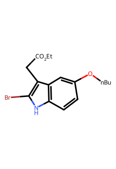 CCCCOc1ccc2[nH]c(Br)c(CC(=O)OCC)c2c1